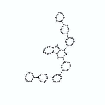 c1ccc(-c2ccc(-c3cccc(-c4cccc(-c5nc(-c6cccc(-c7ccc(-c8ccccc8)cc7)c6)c6sc7ccccc7c6n5)c4)c3)cc2)cc1